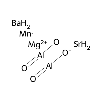 [BaH2].[Mg+2].[Mn].[O]=[Al][O-].[O]=[Al][O-].[SrH2]